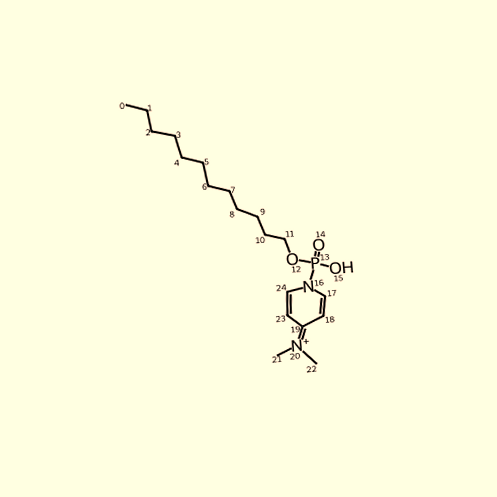 CCCCCCCCCCCCOP(=O)(O)n1ccc(=[N+](C)C)cc1